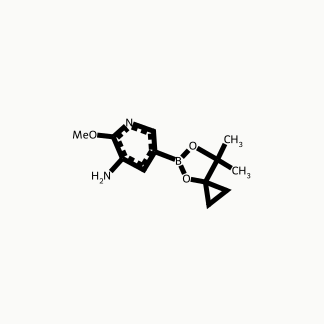 COc1ncc(B2OC(C)(C)C3(CC3)O2)cc1N